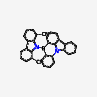 N#Cc1cccc2c3cccc(C#N)c3n(B3c4ccccc4-n4c5ccccc5c5cccc3c54)c12